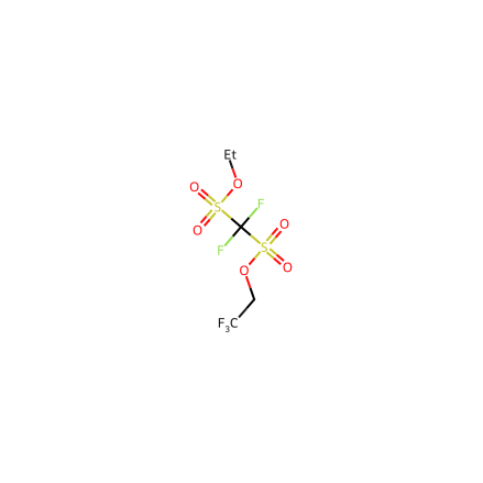 CCOS(=O)(=O)C(F)(F)S(=O)(=O)OCC(F)(F)F